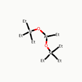 C[CH2][Al]([O][Si](CC)(CC)CC)[O][Si](CC)(CC)CC